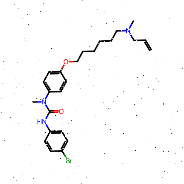 C=CCN(C)CCCCCCOc1ccc(N(C)C(=O)Nc2ccc(Br)cc2)cc1